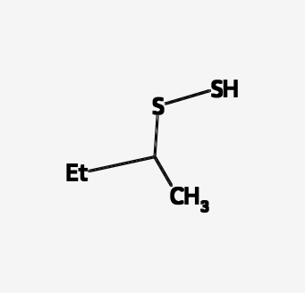 CCC(C)SS